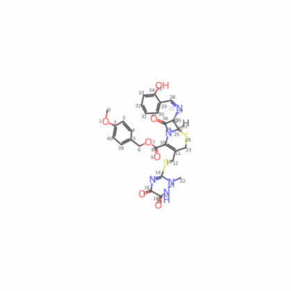 COc1ccc(COC(=O)C2=C(CSc3nc(=O)c(=O)[nH]n3C)CS[C@@H]3[C@H](/N=C\c4ccccc4O)C(=O)N23)cc1